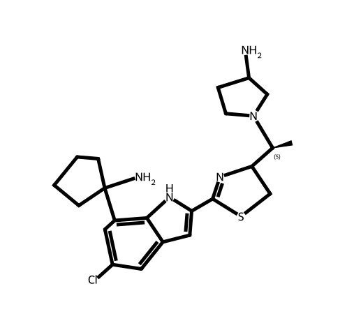 C[C@@H](C1CSC(c2cc3cc(Cl)cc(C4(N)CCCC4)c3[nH]2)=N1)N1CCC(N)C1